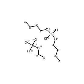 CCCC[O][Ti]([Cl])([Cl])[O]CCCC.CC[O][Ti]([Cl])([Cl])[Cl]